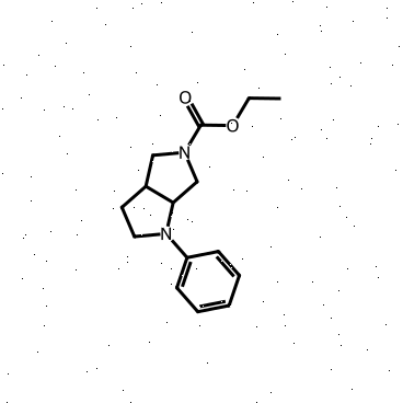 CCOC(=O)N1CC2CCN(c3ccccc3)C2C1